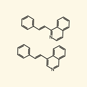 C(=Cc1cncc2ccccc12)c1ccccc1.C(=Cc1nccc2ccccc12)c1ccccc1